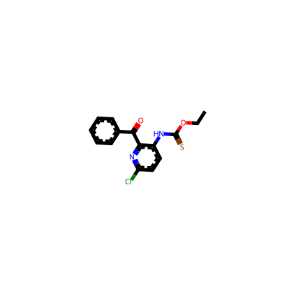 CCOC(=S)Nc1ccc(Cl)nc1C(=O)c1ccccc1